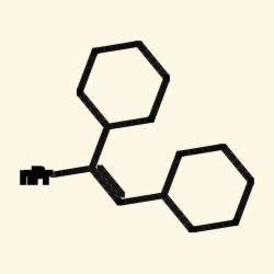 CCCC(=CC1CCCCC1)C1CCCCC1